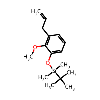 C=CCc1cccc(O[Si](C)(C)C(C)(C)C)c1OC